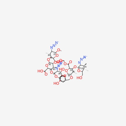 CO[C@H]1OC(CO)[C@@H](O[C@@H]2OC(C(=O)O)[C@@H](O[C@H]3OC(CO)[C@@H](O[C@@H]4OC(C(=O)OC=O)[C@@H](O[C@H]5OC(CO)[C@@H](C)[C@H](C)C5N=[N+]=[N-])[C@H](C)C4OCc4ccccc4)[C@H](O)C3N=[N+]=[N-])[C@H](C)C2O)[C@H](C)C1N=[N+]=[N-]